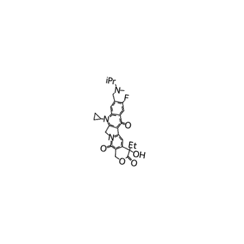 CC[C@@]1(O)C(=O)OCc2c1cc1n(c2=O)Cc2c-1c(=O)c1cc(F)c(CN(C)C(C)C)cc1n2C1CC1